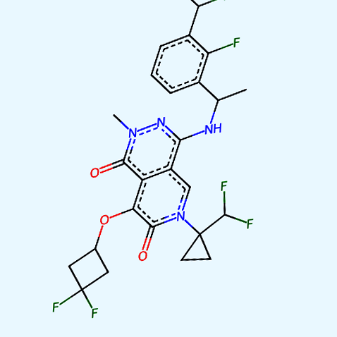 CC(Nc1nn(C)c(=O)c2c(OC3CC(F)(F)C3)c(=O)n(C3(C(F)F)CC3)cc12)c1cccc(C(F)F)c1F